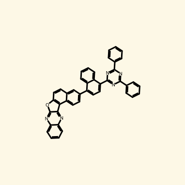 c1ccc(-c2nc(-c3ccccc3)nc(-c3ccc(-c4ccc5c(ccc6oc7nc8ccccc8nc7c65)c4)c4ccccc34)n2)cc1